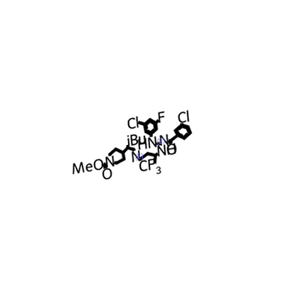 CCC(C)C(C/N=C(\CC(C)N/C(=N\C(=O)c1cccc(Cl)c1)Nc1cc(F)cc(Cl)c1)C(F)(F)F)C1CCN(C(=O)OC)CC1